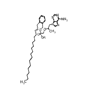 CCCCCCCCCCCCCCCCSSCc1ccccc1COP(=O)(O)COC(C)Cn1cnc2c(N)ncnc21